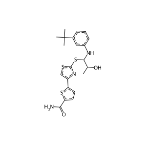 CC(O)C(Nc1cccc(C(C)(C)C)c1)Sc1nc(-c2ccc(C(N)=O)s2)cs1